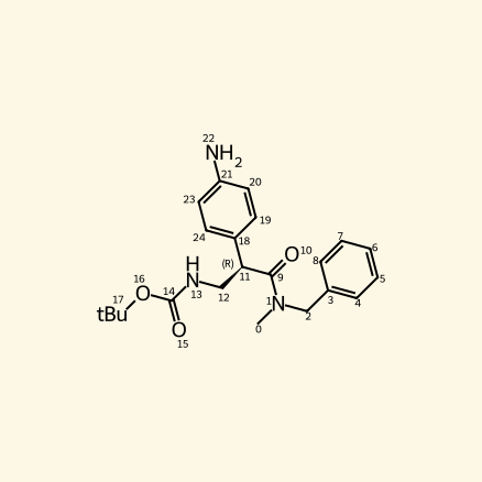 CN(Cc1ccccc1)C(=O)[C@@H](CNC(=O)OC(C)(C)C)c1ccc(N)cc1